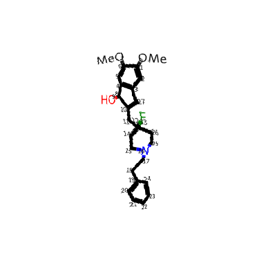 COc1cc2c(cc1OC)C(O)C(CC1(F)CCN(CCc3ccccc3)CC1)C2